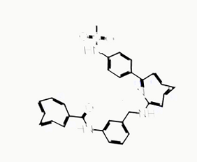 C[C@H](NC1=C/C=C/C=C/C(c2ccc(NS(C)(=O)=O)cc2)=N\1)c1cccc(NC(=O)C2=C/C=C/C=C/C=C\2)c1